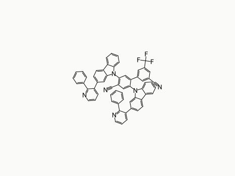 N#Cc1cc(-c2cc(-n3c4ccccc4c4ccc(-c5cccnc5-c5ccccc5)cc43)c(C#N)cc2-n2c3ccccc3c3ccc(-c4cccnc4-c4ccccc4)cc32)cc(C(F)(F)F)c1